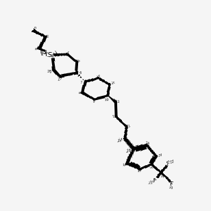 CCC[SiH]1CCC([C@H]2CC[C@H](CCCCc3ccc(C(F)(F)F)cc3)CC2)CC1